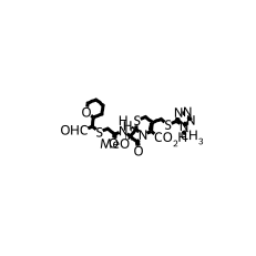 CO[C@@]1(NC(=O)CSC(C=O)C2CCCCO2)C(=O)N2C(C(=O)O)=C(CSc3nnnn3C)CS[C@H]21